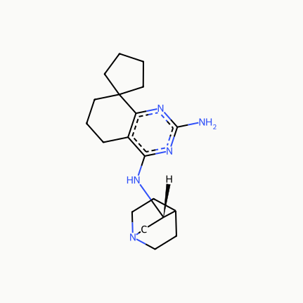 Nc1nc(N[C@H]2CN3CCC2CC3)c2c(n1)C1(CCCC1)CCC2